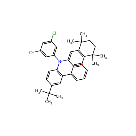 CC(C)(C)c1ccc(N(c2cc(Cl)cc(Cl)c2)c2ccc3c(c2)C(C)(C)CCC3(C)C)c(-c2ccccc2)c1